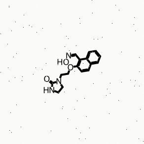 O=C1NCCN1CCOc1ccc2ccccc2c1/C=N\O